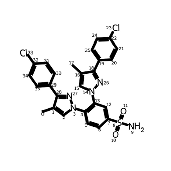 Cc1cn(-c2ccc(S(N)(=O)=O)cc2-n2cc(C)c(-c3ccc(Cl)cc3)n2)nc1-c1ccc(Cl)cc1